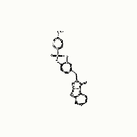 COc1ccc(S(=O)(=O)Oc2ccc(/C=c3\sc4nc5ccccc5n4c3=O)cc2Br)cc1